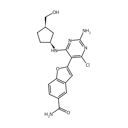 NC(=O)c1ccc2oc(-c3c(Cl)nc(N)nc3N[C@H]3CC[C@@H](CO)C3)cc2c1